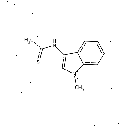 CC(=S)Nc1cn(C)c2ccccc12